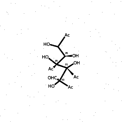 CC(=O)C(O)[C@@H](O)[C@](O)(C(C)=O)[C@@](O)(C(C)=O)[C@](O)(C=O)C(C)=O